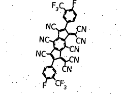 N#CC(C#N)=C1C(c2ccc(F)c(C(F)(F)F)c2)=C(C#N)c2c(C#N)c3c(c(C#N)c21)C(=C(C#N)C#N)C(c1ccc(F)c(C(F)(F)F)c1)=C3C#N